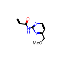 C=CC(=O)Nc1nccc(COC)n1